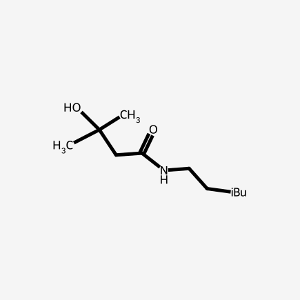 CCC(C)CCNC(=O)CC(C)(C)O